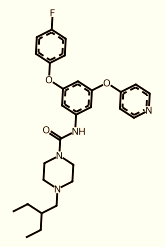 CCC(CC)CN1CCN(C(=O)Nc2cc(Oc3ccncc3)cc(Oc3ccc(F)cc3)c2)CC1